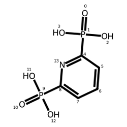 O=P(O)(O)c1cccc(P(=O)(O)O)n1